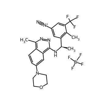 Cc1c([C@@H](C)Nc2nnc(C)c3ccc(N4CCOCC4)cc23)cc([N+]#N)cc1C(F)(F)F.F[B-](F)(F)F